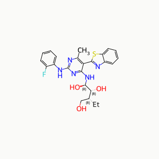 CC[C@H](CO)[C@@H](O)[C@@H](O)Nc1nc(Nc2ccccc2F)nc(C)c1-c1nc2ccccc2s1